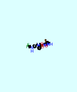 CSc1cc(C)[nH]c(=O)c1CNS(=O)(=O)c1c(C)n([C@H](C)[C@H]2CC[C@H](NC3CC(F)(F)C3)CC2)c2ccccc12